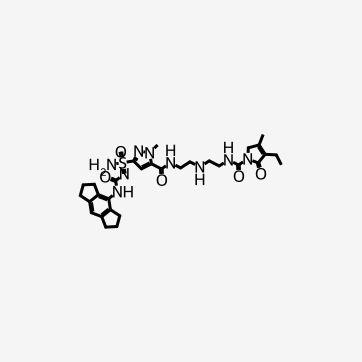 CCC1=C(C)CN(C(=O)NCCNCCNC(=O)c2cc(S(N)(=O)=NC(=O)Nc3c4c(cc5c3CCC5)CCC4)nn2C)C1=O